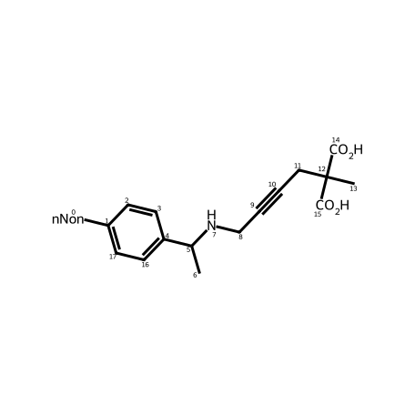 CCCCCCCCCc1ccc(C(C)NCC#CCC(C)(C(=O)O)C(=O)O)cc1